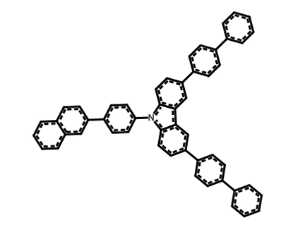 c1ccc(-c2ccc(-c3ccc4c(c3)c3cc(-c5ccc(-c6ccccc6)cc5)ccc3n4-c3ccc(-c4ccc5ccccc5c4)cc3)cc2)cc1